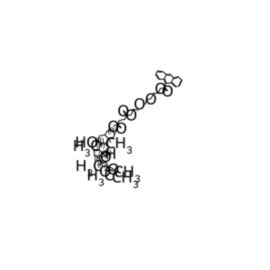 C[C@H](CC(=O)OC(C)(C)C)[C@H]1CCC2[C@@]3(C)C(C[C@@H]4O[C@@]241)C1(C)CC[C@@H](OC(=O)CCC(=O)OCCOCCOCCOC(=O)c2c4ccccc4cc4ccccc24)CC1C[C@H]3O